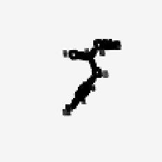 COC(=O)OC#CF